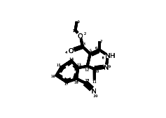 CCOC(=O)C1=C(C)NN=C(C)C1c1ccccc1C#N